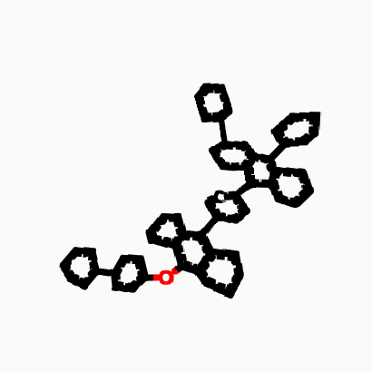 c1ccc(-c2ccc(Oc3c4ccccc4c(-c4ccc(-c5c6ccccc6c(-c6ccccc6)c6cc(-c7ccccc7)ccc56)cc4)c4ccccc34)cc2)cc1